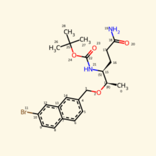 C[C@@H](OCc1ccc2ccc(Br)cc2c1)[C@H](CCC(N)=O)NC(=O)OC(C)(C)C